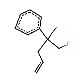 C=CCC(C)(CF)c1ccccc1